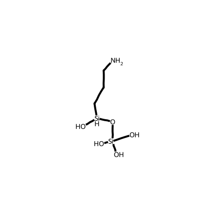 NCCC[SiH](O)O[Si](O)(O)O